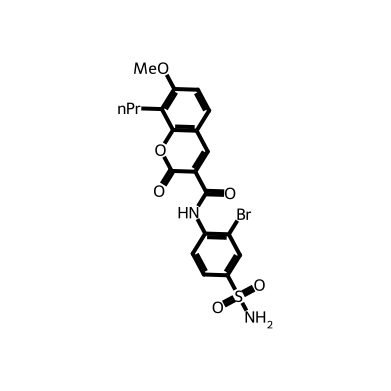 CCCc1c(OC)ccc2cc(C(=O)Nc3ccc(S(N)(=O)=O)cc3Br)c(=O)oc12